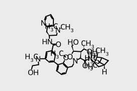 COc1c(CN2O[C@@H](CO)[C@@H]([C@H](C)O)C2C(=O)N[C@H]2C[C@H]3CC([C@@H]2C)C3(C)C)cccc1-c1cc(C(=O)N[C@@H](Cc2ccccn2)CN(C)C)cc(N(C)CCO)c1